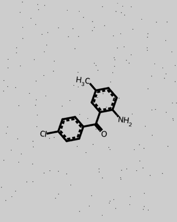 Cc1ccc(N)c(C(=O)c2ccc(Cl)cc2)c1